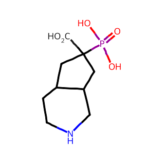 O=C(O)C1(P(=O)(O)O)CC2CCNCC2C1